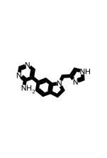 Nc1ncncc1-c1ccc2c(c1)N(Cc1c[nH]cn1)CC2